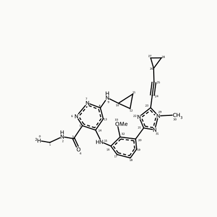 [2H]CNC(=O)c1nnc(NC2CC2)cc1Nc1cccc(-c2nc(C#CC3CC3)n(C)n2)c1OC